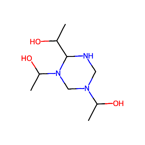 CC(O)C1NCN(C(C)O)CN1C(C)O